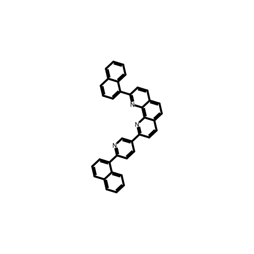 c1ccc2c(-c3ccc(-c4ccc5ccc6ccc(-c7cccc8ccccc78)nc6c5n4)cn3)cccc2c1